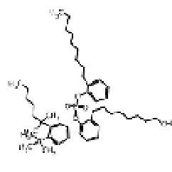 CCCCCC(C)(C)c1ccccc1[N+](C)(C)C.CCCCCCCCCc1ccccc1OP(=O)([O-])Oc1ccccc1CCCCCCCCC